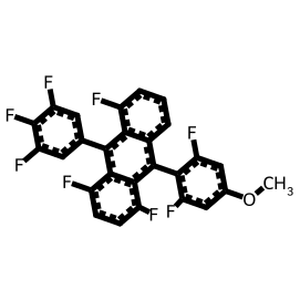 COc1cc(F)c(-c2c3cccc(F)c3c(-c3cc(F)c(F)c(F)c3)c3c(F)ccc(F)c23)c(F)c1